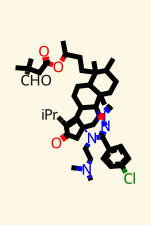 C=N/N=C(/c1ccc(Cl)cc1)N(CCN(C)C)[C@@]12CCC3C(CCC4C(C)(CCC(C)OC(=O)CC(C)(C)C=O)C(C)CCC34C)C1=C(C(C)C)C(=O)C2